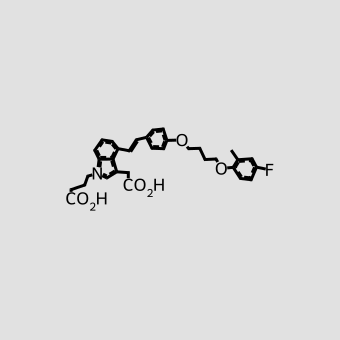 Cc1cc(F)ccc1OCCCCOc1ccc(/C=C/c2cccc3c2c(CC(=O)O)cn3CCCC(=O)O)cc1